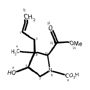 C=CCC1(C)C(O)CN(C(=O)O)C1C(=O)OC